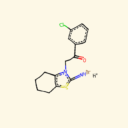 N=c1sc2c(n1CC(=O)c1cccc(Cl)c1)CCCC2.[Br-].[H+]